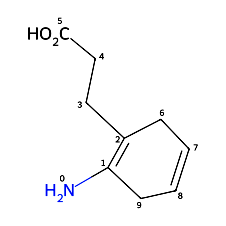 NC1=C(CCC(=O)O)CC=CC1